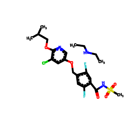 CC(C)COc1ncc(OCc2cc(F)c(C(=O)NS(C)(=O)=O)cc2F)cc1Cl.CCNCC